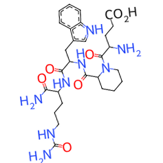 NC(=O)NCCCC(NC(=O)C(Cc1c[nH]c2ccccc12)NC(=O)C1CCCCN1C(=O)C(N)CCC(=O)O)C(N)=O